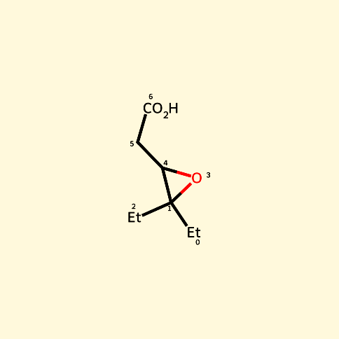 CCC1(CC)OC1CC(=O)O